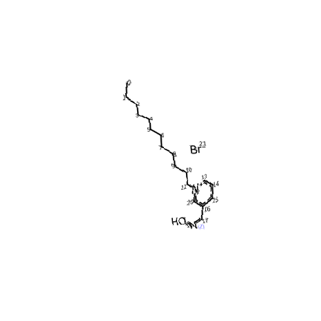 CCCCCCCCCCCC[n+]1cccc(/C=N\O)c1.[Br-]